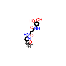 [2H]C([2H])([2H])Oc1cccc(NC(=O)CCC(=O)Nc2ccc(O)c(O)c2)n1